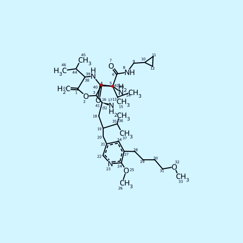 C=C(OC(CC(C(=O)NCC1CC1)C(C)C)[C@@H](N)CC(Cc1cnc(OC)c(CCCCOC)c1)C(C)C)C(NC(=O)CN)C(C)C